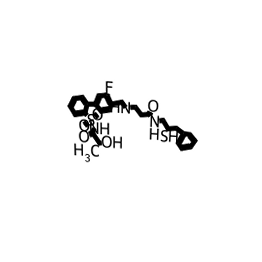 C[C@H](O)C(=O)NS(=O)(=O)c1ccccc1-c1ccc(CNCCC(=O)NC[C@H](S)Cc2ccccc2)c(F)c1